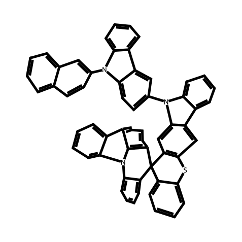 c1ccc2c(c1)Sc1cc3c4ccccc4n(-c4ccc5c(c4)c4ccccc4n5-c4ccc5ccccc5c4)c3cc1C21c2ccccc2-n2c3ccccc3c3cccc1c32